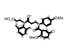 COc1ccc(N(CCC(=O)N(CCC(=O)O)c2c(C)cccc2C)C(=O)c2cc(Cl)ccc2OC)cc1